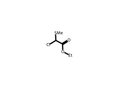 CCOC(=O)C(Cl)SC